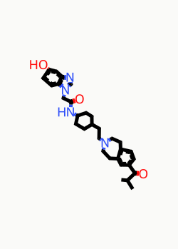 CC(C)C(=O)c1ccc2c(c1)CCN(CCC1CCC(NC(=O)Cn3cnc4cc(O)ccc43)CC1)CC2